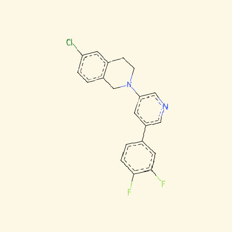 Fc1ccc(-c2cncc(N3CCc4cc(Cl)ccc4C3)c2)cc1F